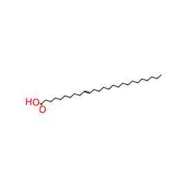 CCCCCCCCCCCCCCCC=CCCCCCCCCC(=O)O